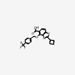 O=C(O)c1ccc2sc(C3CCC3)nc2c1OCc1ccc(C(F)(F)F)cc1